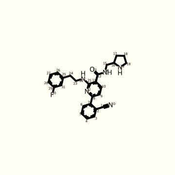 N#Cc1ccccc1-c1ccc(C(=O)NCC2CCCN2)c(NCCc2cccc(F)c2)n1